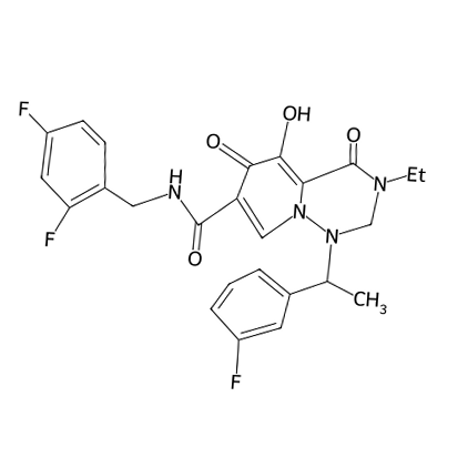 CCN1CN(C(C)c2cccc(F)c2)n2cc(C(=O)NCc3ccc(F)cc3F)c(=O)c(O)c2C1=O